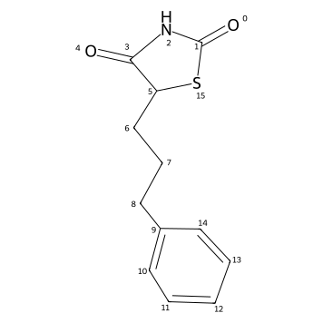 O=C1NC(=O)C(CCCc2ccccc2)S1